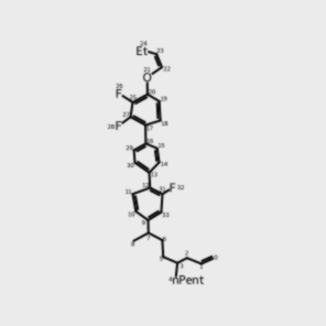 C=CCC(CCCCC)CCC(C)c1ccc(-c2ccc(-c3ccc(O/C=C\CC)c(F)c3F)cc2)c(F)c1